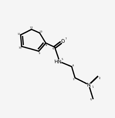 CN(C)CCNC(=O)C1=CC=CCC1